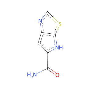 NC(=O)c1cc2ncsc2[nH]1